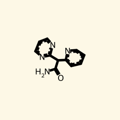 NC(=O)C(c1ccccn1)c1ncccn1